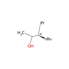 CCCC[C@H](C(C)C)C(C)O